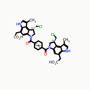 Cc1c[nH]c2c(CC(=O)O)cc3c(c12)[C@H](CCl)CN3C(=O)C12CCC(C(=O)N3C[C@@H](CCl)c4c3cc(CC(=O)O)c3[nH]cc(C)c43)(CC1)CC2